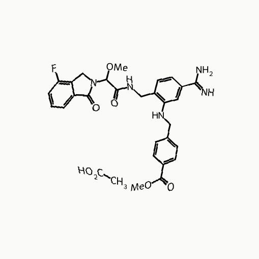 CC(=O)O.COC(=O)c1ccc(CNc2cc(C(=N)N)ccc2CNC(=O)C(OC)N2Cc3c(F)cccc3C2=O)cc1